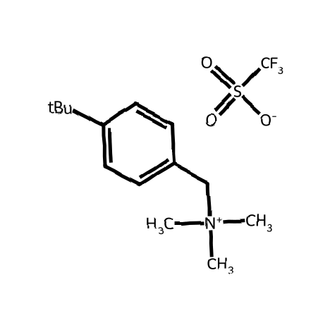 CC(C)(C)c1ccc(C[N+](C)(C)C)cc1.O=S(=O)([O-])C(F)(F)F